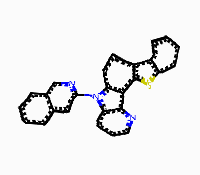 c1ccc2cc(-n3c4cccnc4c4c5sc6ccccc6c5ccc43)ncc2c1